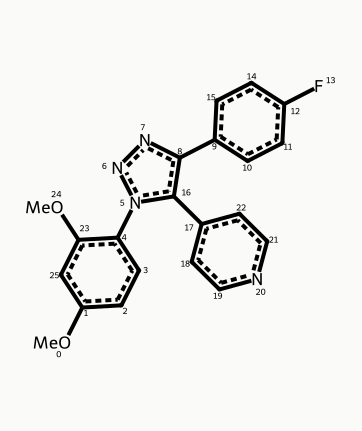 COc1ccc(-n2nnc(-c3ccc(F)cc3)c2-c2ccncc2)c(OC)c1